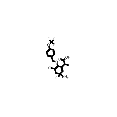 CC(C(=O)O)C1=CC(N)(Cl)CC(Cl)=C1OCc1ccc(OC(F)(F)F)cc1